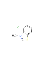 C[n+]1csc2ccccc21.[Cl-]